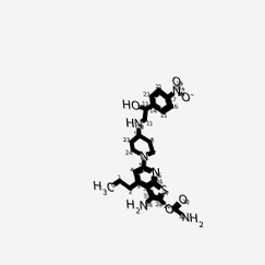 CCCc1cc(N2CCC(NCC(O)c3ccc([N+](=O)[O-])cc3)CC2)nc2sc(OC(N)=O)c(N)c12